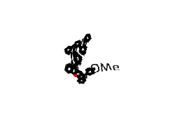 COc1ccc(-n2c3ccccc3c3cc4c5ccccc5n(-c5cccc(-n6c7ccccc7c7ccc8c(c9ccccc9n8-c8ccccc8)c76)n5)c4cc32)cc1